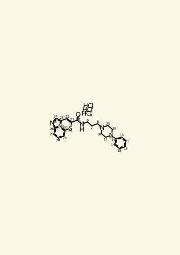 Cl.Cl.Cl.O=C(NCCCN1CCN(c2ccccc2)CC1)C1=Cc2cnc3cccc(n23)S1